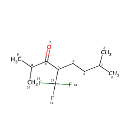 CC(C)CCC(C(=O)C(C)C)C(F)(F)F